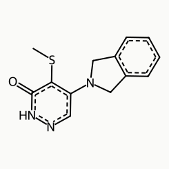 CSc1c(N2Cc3ccccc3C2)cn[nH]c1=O